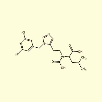 CC(C)CC(C(=O)O)[As](CCc1cncn1Cc1cc(Cl)cc(Cl)c1)C(=O)O